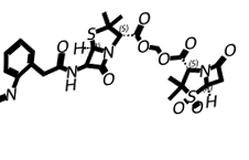 C=Nc1ccccc1CC(=O)NC1C(=O)N2[C@@H]1SC(C)(C)[C@@H]2C(=O)OCOC(=O)[C@@H]1N2C(=O)C[C@H]2S(=O)(=O)C1(C)C